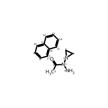 CC(=O)N(N)N1CC1.c1ccc2ccccc2c1